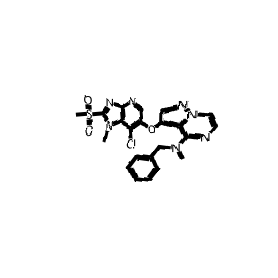 CN(Cc1ccccc1)c1nccn2ncc(Oc3cnc4nc(S(C)(=O)=O)n(C)c4c3Cl)c12